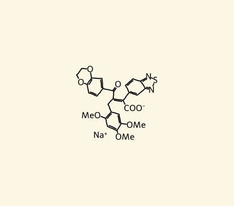 COc1cc(OC)c(OC)cc1C/C(C(=O)c1ccc2c(c1)OCCO2)=C(\C(=O)[O-])c1ccc2nsnc2c1.[Na+]